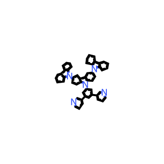 c1cncc(-c2cc(-c3cccnc3)cc(-n3c4ccc(-n5c6ccccc6c6ccccc65)cc4c4cc(-n5c6ccccc6c6ccccc65)ccc43)c2)c1